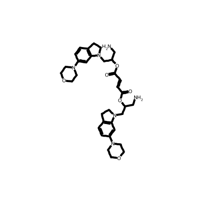 NCC(CN1CCc2ccc(N3CCOCC3)cc21)OC(=O)/C=C/C(=O)OC(CN)CN1CCc2ccc(N3CCOCC3)cc21